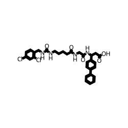 O=C(O)CC(NC(=O)CNC(=O)CCCCNC(=O)NCc1ccc(Cl)cc1Cl)c1ccc(-c2ccccc2)cc1